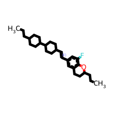 CCCC1CCC(C2CCC(/C=C/c3cc(F)c4c(c3)CCC(CCC)O4)CC2)CC1